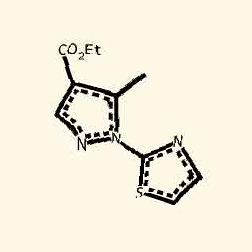 CCOC(=O)c1cnn(-c2nccs2)c1C